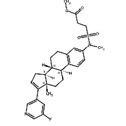 COC(=O)CCS(=O)(=O)N(C)c1ccc2c(c1)CC[C@@H]1[C@@H]2CC[C@]2(C)C(c3cncc(F)c3)=CC[C@@H]12